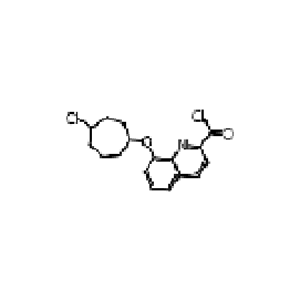 O=C(Cl)c1ccc2cccc(OC3CCCC(Cl)CC3)c2n1